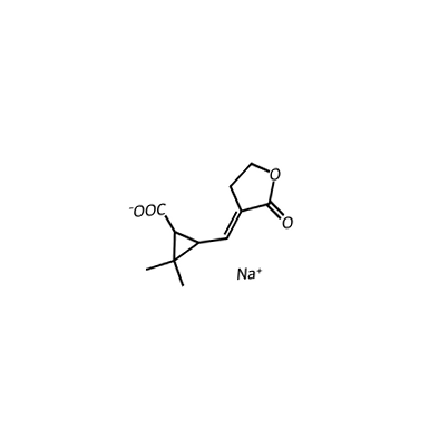 CC1(C)C(C=C2CCOC2=O)C1C(=O)[O-].[Na+]